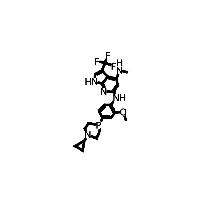 CNc1cc(Nc2ccc(P3CCN(C4CC4)CC3)cc2OC)nc2[nH]cc(C(F)(F)F)c12